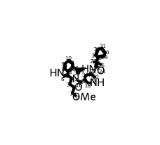 COCCCC(c1c[nH]c2ccccc12)N(C(=O)[C@@H]1CNC[C@H](NC(=O)C(C)(C)c2ccccc2)C1)C1CC1